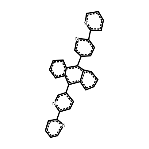 c1ccc(-c2ccc(-c3c4ccccc4c(-c4ccc(-c5ccccn5)nc4)c4ccccc34)cn2)nc1